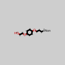 CCCCCCCCCCCCOC1CCC(OCCO)CC1